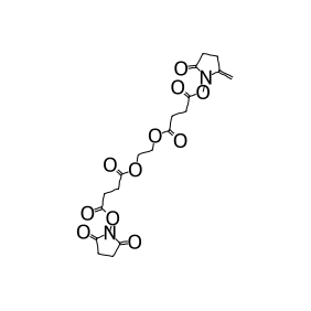 C=C1CCC(=O)N1OC(=O)CCC(=O)OCCOC(=O)CCC(=O)ON1C(=O)CCC1=O